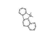 C[Si]1(C)c2ccccc2-c2ccc3ccccc3c21